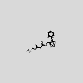 CCOC(=O)CC(=O)OCc1nnnn1-c1ccccc1